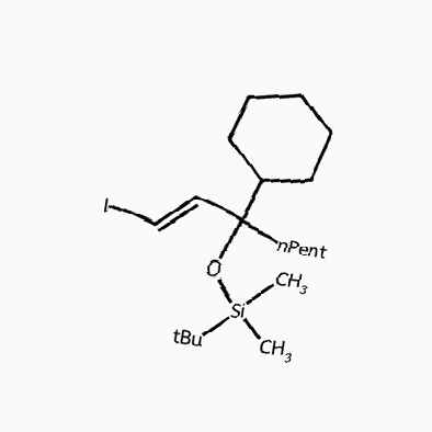 CCCCCC(/C=C/I)(O[Si](C)(C)C(C)(C)C)C1CCCCC1